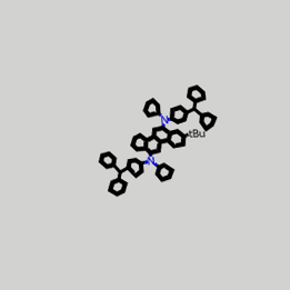 CC(C)(C)c1ccc2c(c1)c(N(c1ccccc1)c1ccc(C(c3ccccc3)c3ccccc3)cc1)cc1c3ccccc3c(N(c3ccccc3)c3ccc(C(c4ccccc4)c4ccccc4)cc3)cc21